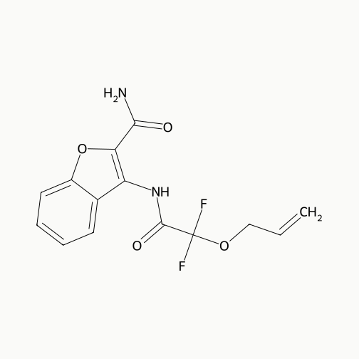 C=CCOC(F)(F)C(=O)Nc1c(C(N)=O)oc2ccccc12